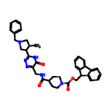 CC1CN(Cc2ccccc2)CC1c1nnc(CNC(=O)C2CCN(C(=O)OCC3c4ccccc4-c4ccccc43)CC2)c(=O)[nH]1